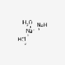 Cl.O.[Na+].[NaH]